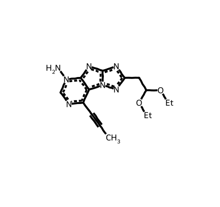 CC#Cc1ncn(N)c2nc3nc(CC(OCC)OCC)nn3c12